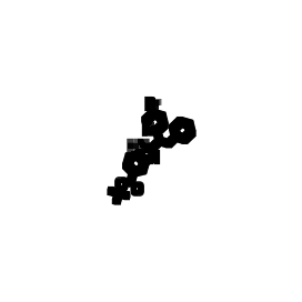 CC(C)(C)OC(=O)c1ccc2[nH]c(C(Cc3ccccc3)c3ccc(Br)cn3)nc2c1